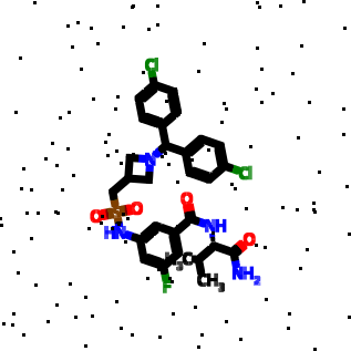 CC(C)[C@H](NC(=O)c1cc(F)cc(NS(=O)(=O)CC2CN(C(c3ccc(Cl)cc3)c3ccc(Cl)cc3)C2)c1)C(N)=O